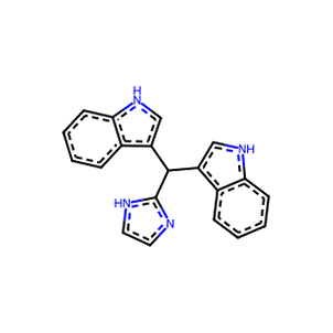 c1ccc2c(C(c3ncc[nH]3)c3c[nH]c4ccccc34)c[nH]c2c1